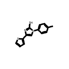 Cc1ccc(-n2cc(-c3cccs3)nc2S)cc1